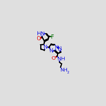 NCCCNC(=O)c1cnn2ccc(N3CCCC3c3cc(F)c[nH]c3=O)nc12